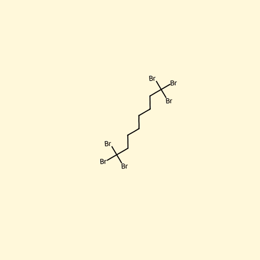 BrC(Br)(Br)CCCCCCC(Br)(Br)Br